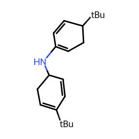 CC(C)(C)C1=CCC(NC2=CCC(C(C)(C)C)C=C2)C=C1